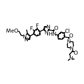 COCCn1ncc(-c2ccc(-c3cnc(C(=O)Nc4ccc(C(=O)N5CCN(C(=O)CN(C)C)CC5)c(Cl)c4)n3C)c(F)c2F)c1C